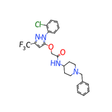 O=C(COc1cc(C(F)(F)F)nn1-c1ccccc1Cl)NC1CCN(Cc2ccccc2)CC1